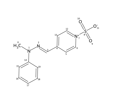 CN(N=Cc1cc[n+](S(=O)(=O)[O-])cc1)c1ccccc1